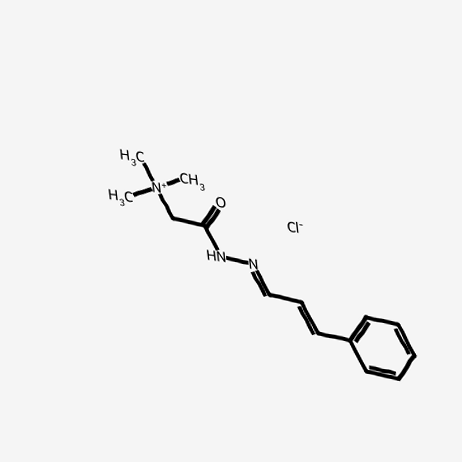 C[N+](C)(C)CC(=O)NN=CC=Cc1ccccc1.[Cl-]